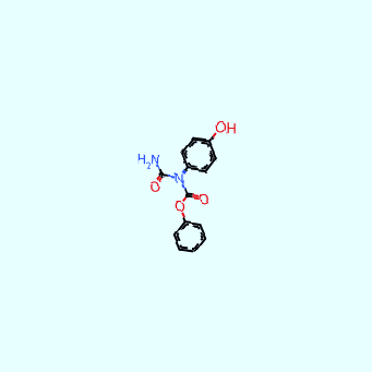 NC(=O)N(C(=O)Oc1ccccc1)c1ccc(O)cc1